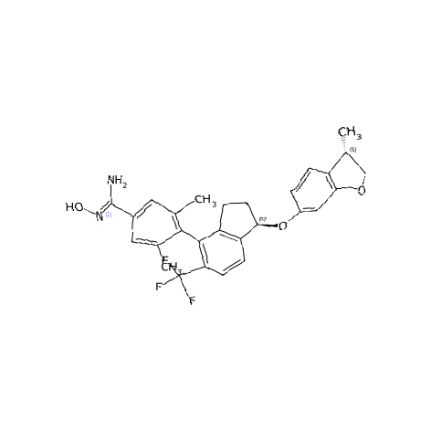 Cc1cc(/C(N)=N/O)cc(C)c1-c1c(C(F)(F)F)ccc2c1CC[C@H]2Oc1ccc2c(c1)OC[C@H]2C